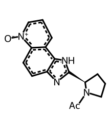 CC(=O)N1CCC[C@@H]1c1nc2ccc3c(ccc[n+]3[O-])c2[nH]1